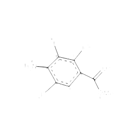 COC(=O)c1cc(F)c(N)c(I)c1F